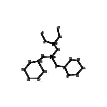 CCN(CC)CN(CC1CCCCC1)CC1CCCCC1